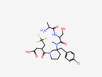 CC(N)C(=O)NC(CO)C(=O)N(C)C1(Cc2ccc(Cl)cc2)CCCN(C(=O)C(CC(=O)O)CC(F)(F)F)C1